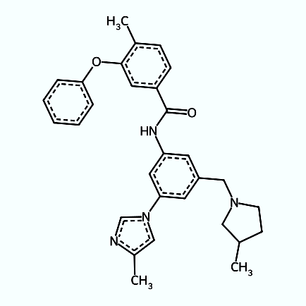 Cc1cn(-c2cc(CN3CCC(C)C3)cc(NC(=O)c3ccc(C)c(Oc4ccccc4)c3)c2)cn1